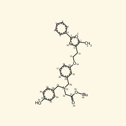 Cc1oc(-c2ccccc2)nc1CCOc1cccc(CN(CC(=O)OC(C)(C)C)Cc2ccc(O)cc2)c1